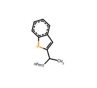 CCCCCC(C)C1=Cc2ccccc2[P]1